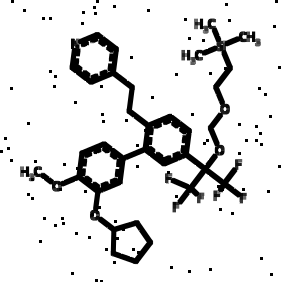 COc1ccc(-c2cc(C(OCOCC[Si](C)(C)C)(C(F)(F)F)C(F)(F)F)ccc2CCc2ccncc2)cc1OC1CCCC1